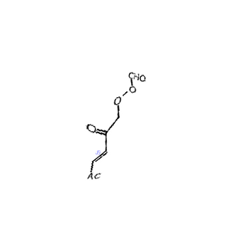 CC(=O)/C=C/C(=O)COOC=O